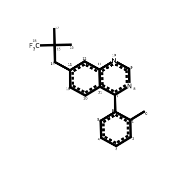 Cc1ccccc1-c1ncnc2cc(CC(C)(C)C(F)(F)F)ccc12